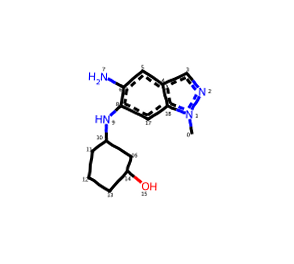 Cn1ncc2cc(N)c(NC3CCCC(O)C3)cc21